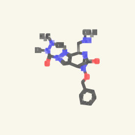 CCN(C(=O)n1cc2c(n1)C(CNC(=O)O)N1CC2N(OCc2ccccc2)C1=O)N(C)C